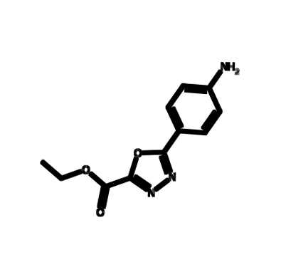 CCOC(=O)c1nnc(-c2ccc(N)cc2)o1